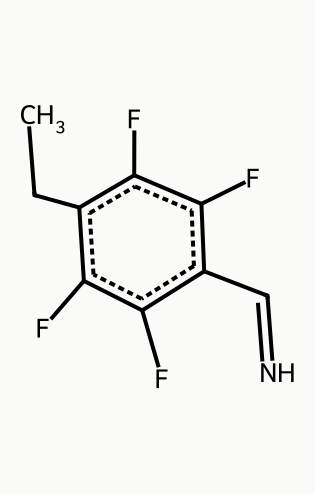 CCc1c(F)c(F)c(C=N)c(F)c1F